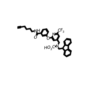 C#CCCCCNC(=O)c1cccc(Oc2cc(CN(CC3c4ccccc4-c4ccccc43)C(=O)O)cc(C(F)(F)F)n2)c1